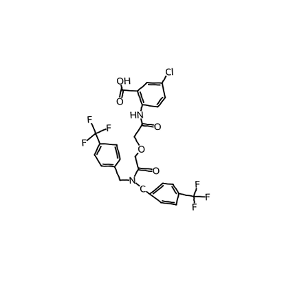 O=C(COCC(=O)N(Cc1ccc(C(F)(F)F)cc1)Cc1ccc(C(F)(F)F)cc1)Nc1ccc(Cl)cc1C(=O)O